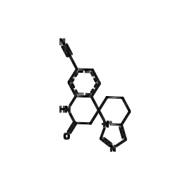 N#Cc1ccc2c(c1)NC(=O)CC21CCCC2=CN=C[N+]21